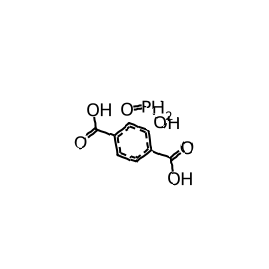 O=C(O)c1ccc(C(=O)O)cc1.O=[PH2]O